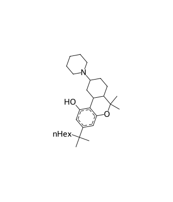 CCCCCCC(C)(C)c1cc(O)c2c(c1)OC(C)(C)C1CCC(N3CCCCC3)CC21